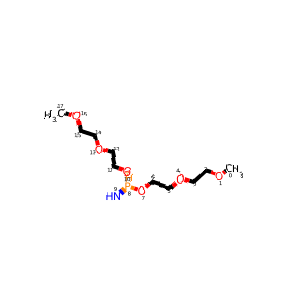 COCCOCCO[PH](=N)OCCOCCOC